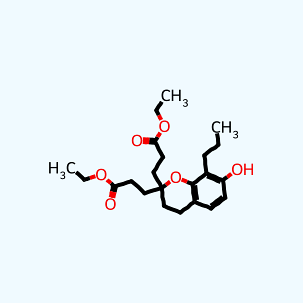 CCCc1c(O)ccc2c1OC(CCC(=O)OCC)(CCC(=O)OCC)CC2